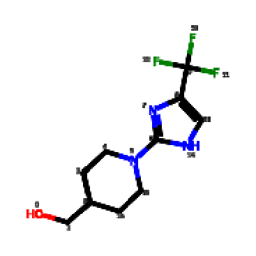 OCC1CCN(c2nc(C(F)(F)F)c[nH]2)CC1